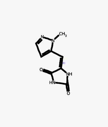 Cn1nccc1/C=C1/NC(=O)NC1=O